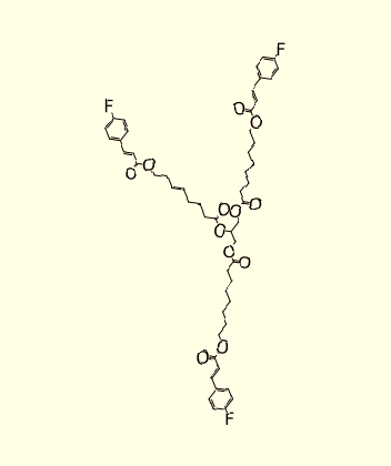 O=C(C=Cc1ccc(F)cc1)OCCCCCCCC(=O)OCC(COC(=O)CCCCCCCOC(=O)C=Cc1ccc(F)cc1)OC(=O)CCCCCCCOC(=O)C=Cc1ccc(F)cc1